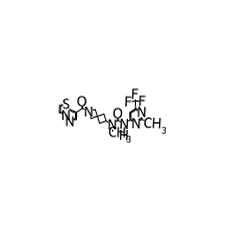 Cc1nc(NC(=O)N(C)C2CC3(C2)CN(C(=O)c2cnn4ccsc24)C3)cc(C(F)(F)F)n1